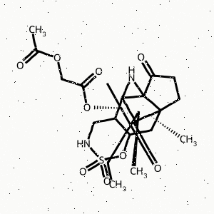 CC[C@]1(C)C[C@@H](OC(=O)COC(C)=O)C23NC24C(=O)CCC4(CC2OS(=O)(=O)NCC23)[C@@H](C)C1=O